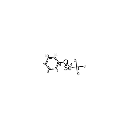 CC(C)(C)[Se]Oc1ccccc1